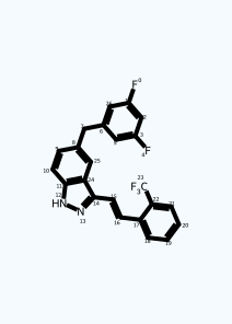 Fc1cc(F)cc(Cc2ccc3[nH]nc(C=Cc4ccccc4C(F)(F)F)c3c2)c1